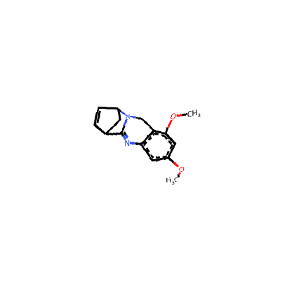 COc1cc2c(c(OC)c1)CN1C(=N2)C2C=CC1C2